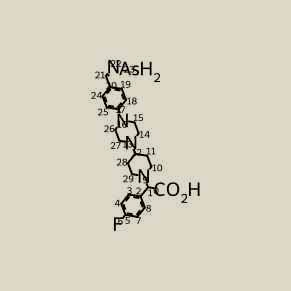 O=C(O)C(c1ccc(F)cc1)N1CCC(N2CCN(c3ccc(/C=N\[AsH2])cc3)CC2)CC1